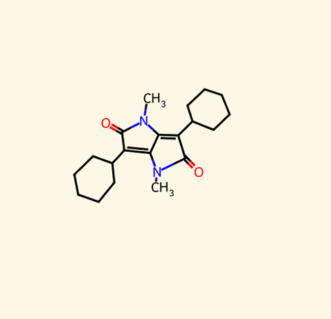 CN1C(=O)C(C2CCCCC2)=C2C1=C(C1CCCCC1)C(=O)N2C